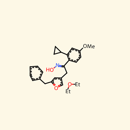 CCOCC.COc1ccc(/C(Cc2coc(Cc3ccccc3)c2)=N/O)c(C2CC2)c1